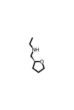 CCNC[C@@H]1CCCO1